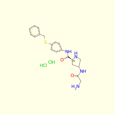 Cl.Cl.NCC(=O)NC1CN[C@H](C(=O)Nc2ccc(SCc3ccccc3)cc2)C1